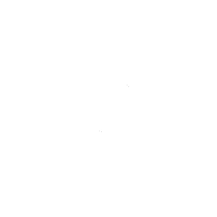 N#CCCCC(Cl)C#N